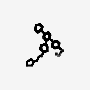 COc1ccc(-c2ccc(-c3ccccc3)nc2-c2ccc(OCCN3CCCC3)cc2)cc1